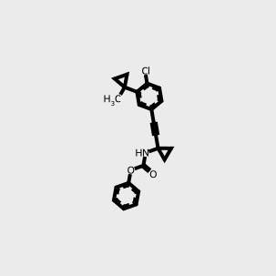 CC1(c2cc(C#CC3(NC(=O)Oc4ccccc4)CC3)ccc2Cl)CC1